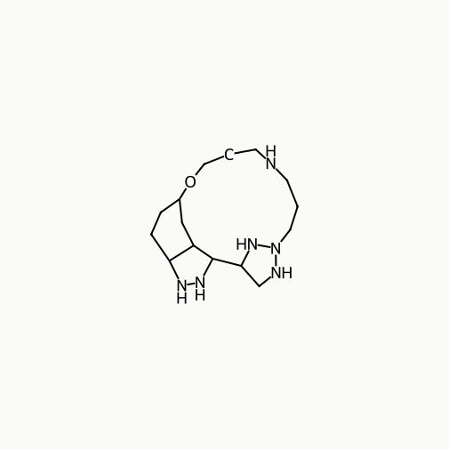 C1CNCCCN2NCC(N2)C2NNC3CCC(CC32)OC1